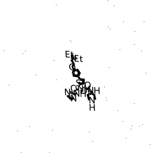 CCN(CC)CCOc1ccc(-c2cc(OC(=O)NC3CCNCC3)c(NC(=O)Nc3cnccn3)s2)cc1